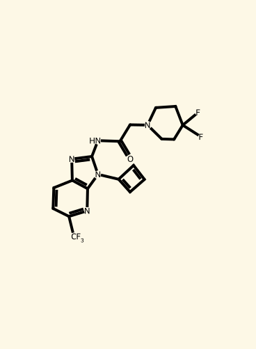 O=C(CN1CCC(F)(F)CC1)Nc1nc2ccc(C(F)(F)F)nc2n1C1=CC=C1